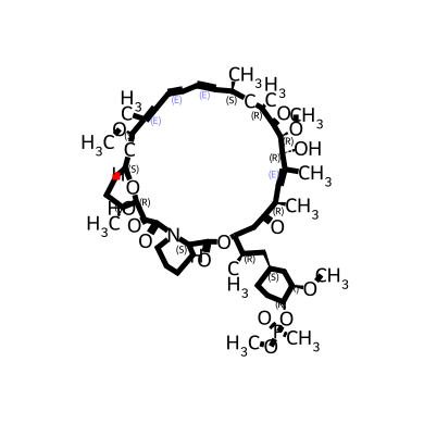 CO[C@H]1C[C@@H]2CC[C@@H](C)[C@@](O)(O2)C(=O)C(=O)N2CCCC[C@H]2C(=O)OC([C@H](C)C[C@@H]2CC[C@@H](OP(C)(=O)OC)[C@H](OC)C2)CC(=O)[C@H](C)/C=C(\C)[C@@H](O)[C@@H](OC)C(=O)[C@H](C)C[C@H](C)/C=C/C=C/C=C/1C